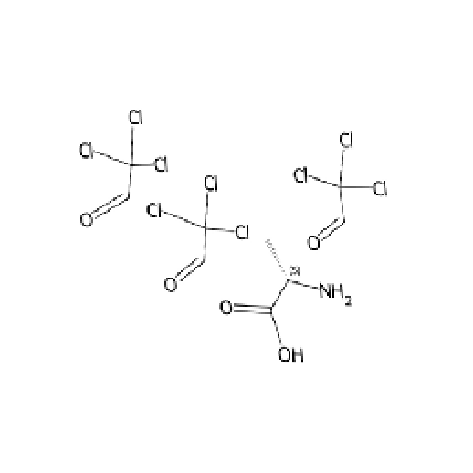 C[C@H](N)C(=O)O.O=CC(Cl)(Cl)Cl.O=CC(Cl)(Cl)Cl.O=CC(Cl)(Cl)Cl